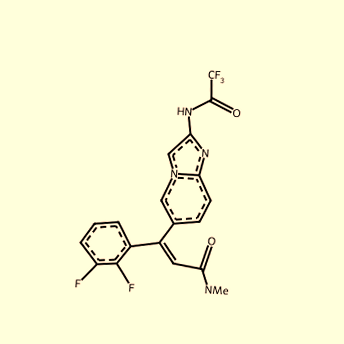 CNC(=O)/C=C(\c1ccc2nc(NC(=O)C(F)(F)F)cn2c1)c1cccc(F)c1F